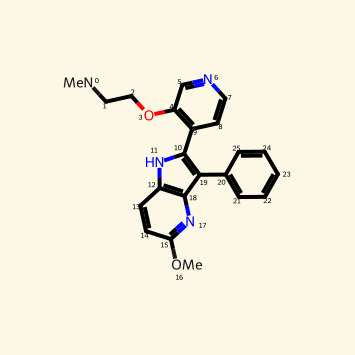 CNCCOc1cnccc1-c1[nH]c2ccc(OC)nc2c1-c1ccccc1